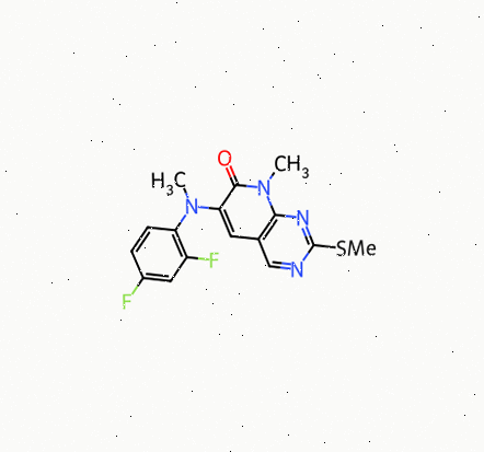 CSc1ncc2cc(N(C)c3ccc(F)cc3F)c(=O)n(C)c2n1